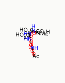 CN[C@H](CCC(=O)N[C@H](CCC(=O)N[C@H](CCC(=O)NCCOCCOCC(=O)NCCOCCOCC(C)=O)C(=O)O)C(=O)O)C(=O)O